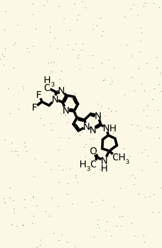 CC(=O)NC1(C)CCC(Nc2ncc3c(-c4ccc5nc(C)n(CC(F)F)c5n4)ccn3n2)CC1